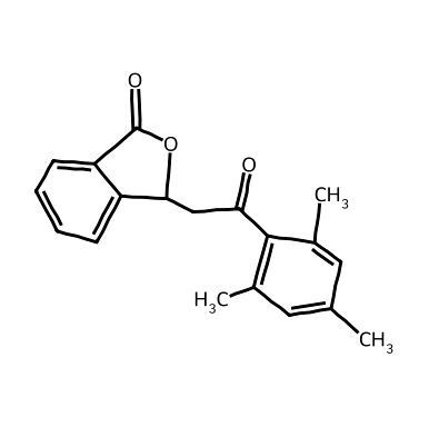 Cc1cc(C)c(C(=O)CC2OC(=O)c3ccccc32)c(C)c1